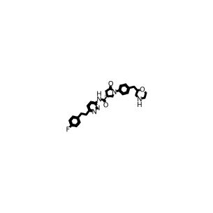 O=C(Nc1ccc(CCc2ccc(F)cc2)nn1)[C@H]1CC(=O)N(c2ccc(CC3CNCCO3)cc2)C1